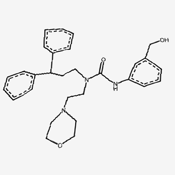 O=C(Nc1cccc(CO)c1)N(CCC(c1ccccc1)c1ccccc1)CCN1CCOCC1